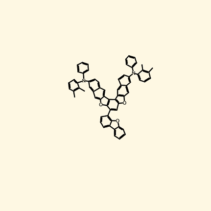 Cc1cccc(N(c2ccccc2)c2ccc3cc4c(cc3c2)oc2cc(-c3cccc5c3oc3ccccc35)c3oc5cc6cc(N(c7ccccc7)c7cccc(C)c7C)ccc6cc5c3c24)c1C